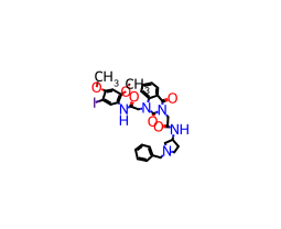 COc1cc(OC)c(NC(=O)Cn2c(=O)n(CC(=O)NC3CCN(Cc4ccccc4)C3)c(=O)c3ccccc32)cc1I